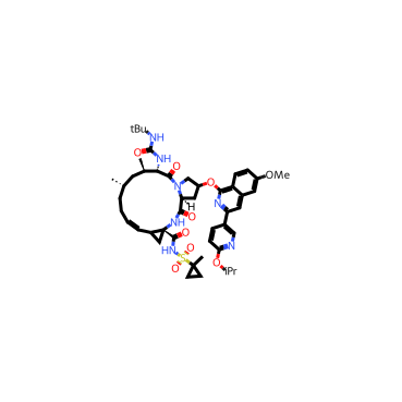 COc1ccc2c(OC3C[C@H]4C(=O)N[C@]5(C(=O)NS(=O)(=O)C6(C)CC6)CC5/C=C\CC[C@H](C)C[C@@H](C)[C@H](NC(=O)NC(C)(C)C)C(=O)N4C3)nc(-c3ccc(OC(C)C)nc3)cc2c1